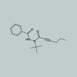 CCCC#CC(=O)N(NC(=O)c1ccccc1)C(C)(C)C